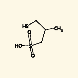 CC(CS)CS(=O)(=O)O